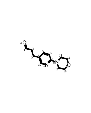 O=CCCc1ccc(N2CCOCC2)nc1